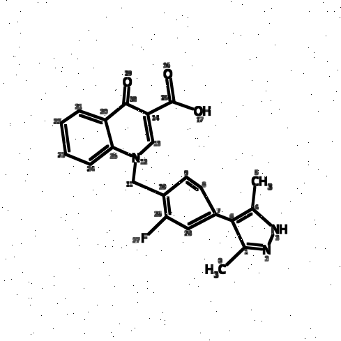 Cc1n[nH]c(C)c1-c1ccc(Cn2cc(C(=O)O)c(=O)c3ccccc32)c(F)c1